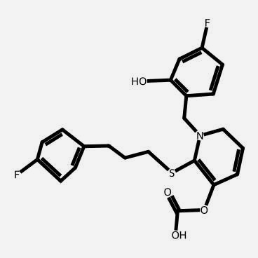 O=C(O)OC1=C(SCCCc2ccc(F)cc2)N(Cc2ccc(F)cc2O)CC=C1